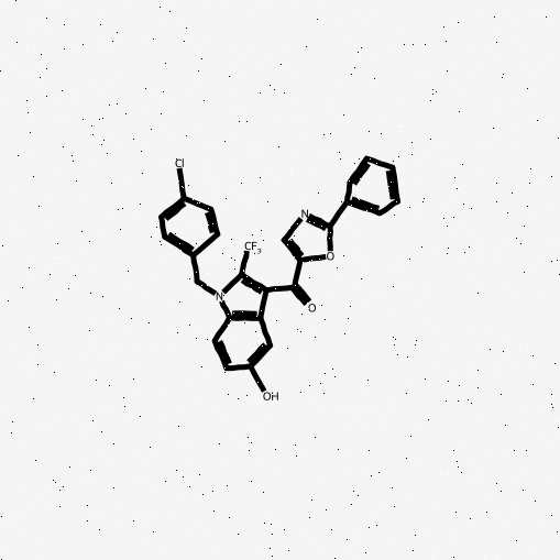 O=C(c1cnc(-c2ccccc2)o1)c1c(C(F)(F)F)n(Cc2ccc(Cl)cc2)c2ccc(O)cc12